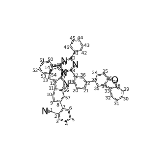 N#Cc1ccccc1-c1ccc2c3ccccc3n(-c3ccc(-c4ccc5oc6ccccc6c5c4)cc3-c3nc(-c4ccccc4)nc(-c4ccccc4)n3)c2c1